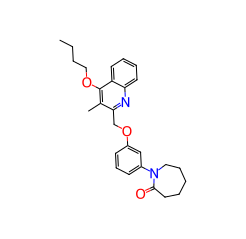 CCCCOc1c(C)c(COc2cccc(N3CCCCCC3=O)c2)nc2ccccc12